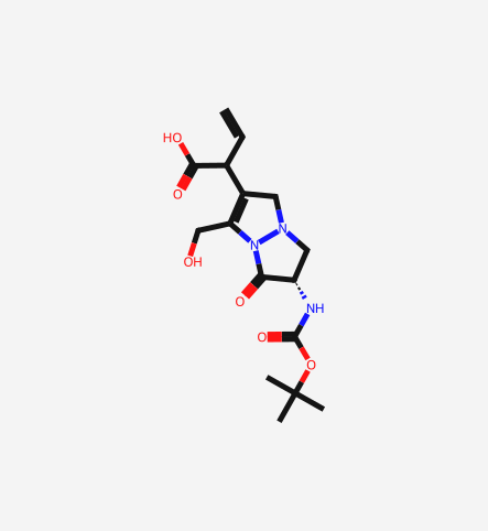 C=CC(C(=O)O)C1=C(CO)N2C(=O)[C@@H](NC(=O)OC(C)(C)C)CN2C1